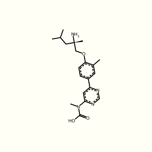 Cc1cc(-c2cc(N(C)C(=O)O)ncn2)ccc1OC[C@@](C)(N)CC(C)C